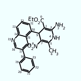 CCOC(=O)C1=C(N)NC(C)=C([N+](=O)[O-])C1c1cccc2ncc(-c3ccccc3)cc12